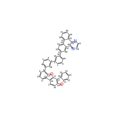 c1cc(-c2cccc(-c3cccc4c3oc3c4ccc4oc5ccccc5c43)c2)cc(-c2ccc3c4ccccc4c4nccnc4c3c2)c1